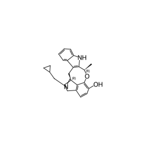 C[C@H]1Oc2c(O)ccc3c2[C@]2(Cc4c1[nH]c1ccccc41)CN(CC1CC1)C2C3